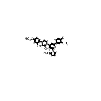 Cc1cc(-c2cc(N3CCN(c4ncc(C(=O)O)cc4C)CC3C)cc(N3CCCC3C)n2)ccc1F